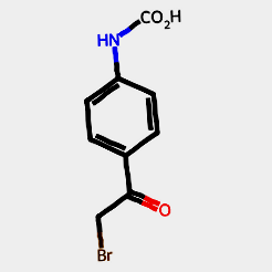 O=C(O)Nc1ccc(C(=O)CBr)cc1